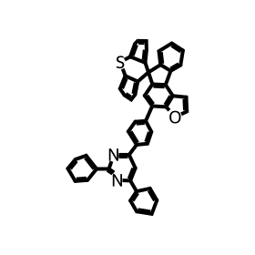 c1ccc(-c2cc(-c3ccc(-c4cc5c(c6ccoc46)-c4ccccc4C54c5ccccc5Sc5ccccc54)cc3)nc(-c3ccccc3)n2)cc1